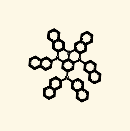 c1ccc2cc(N(c3cc4c5c(c3)N(c3ccc6ccccc6c3)c3cc6ccccc6cc3B5c3cc5ccccc5cc3N4c3ccc4ccccc4c3)c3ccc4ccccc4c3)ccc2c1